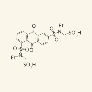 CCN(CS(=O)(=O)O)S(=O)(=O)c1ccc2c(c1)C(=O)c1cccc(S(=O)(=O)N(CC)CS(=O)(=O)O)c1C2=O